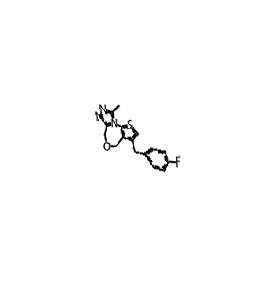 Cc1nnc2n1-c1scc(Cc3ccc(F)cc3)c1COC2